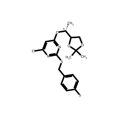 C[C@@H](Oc1cc(Cl)nc(SCc2ccc(F)cc2)n1)C1COC(C)(C)O1